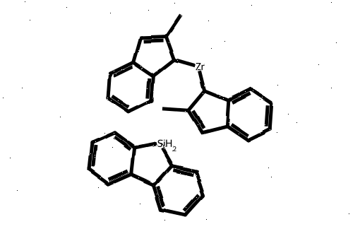 CC1=Cc2ccccc2[CH]1[Zr][CH]1C(C)=Cc2ccccc21.c1ccc2c(c1)[SiH2]c1ccccc1-2